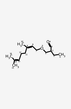 CCC(C=O)COCC=C(C)CCC=C(C)C